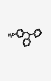 Cc1ccc(CP(c2ccccc2)c2ccccc2)cc1